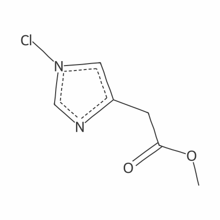 COC(=O)Cc1cn(Cl)cn1